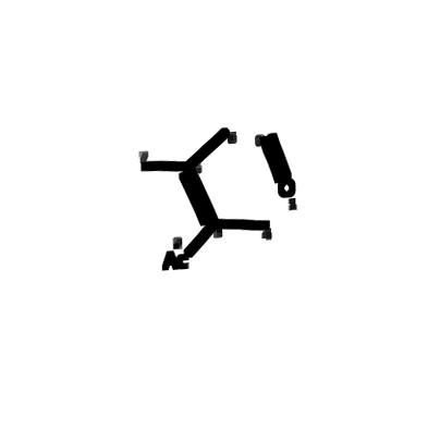 C=O.CC(=O)C(C)=C(C)C